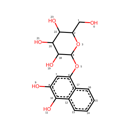 OCC1OC(Oc2cc(O)c(O)c3ccccc23)C(O)C(O)C1O